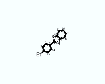 CCc1ccc(-c2nc3ccccc3s2)cc1